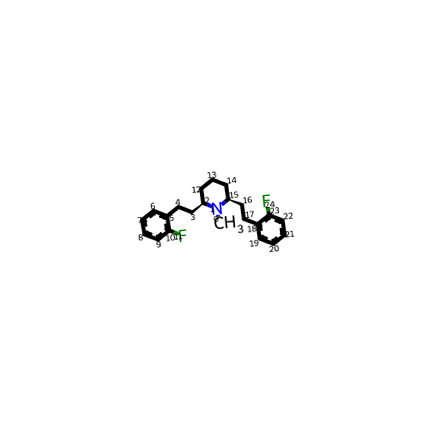 CN1[C@@H](CCc2ccccc2F)CCC[C@H]1CCc1ccccc1F